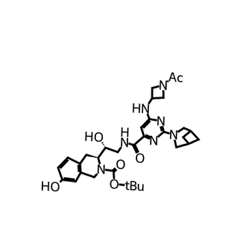 CC(=O)N1CC(Nc2cc(C(=O)NC[C@@H](O)[C@@H]3Cc4ccc(O)cc4CN3C(=O)OC(C)(C)C)nc(N3CC4CC(C4)C3)n2)C1